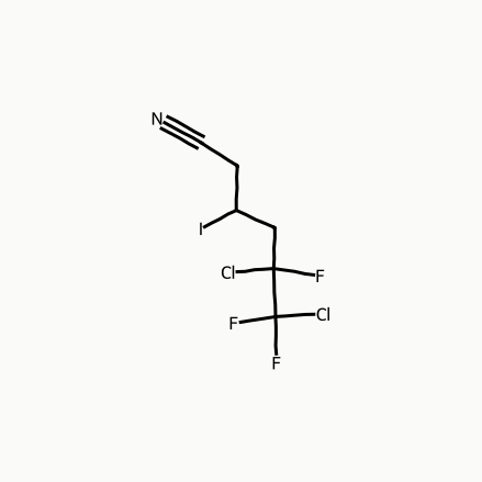 N#CCC(I)CC(F)(Cl)C(F)(F)Cl